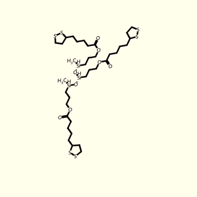 C[SiH](CCCOC(=O)CCCCC1CCSS1)O[SiH](CCCOC(=O)CCCCC1CCSS1)O[SiH](C)CCCOC(=O)CCCCC1CCSS1